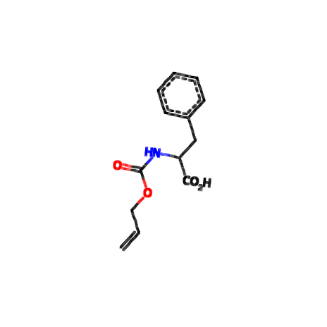 C=CCOC(=O)NC(Cc1ccccc1)C(=O)O